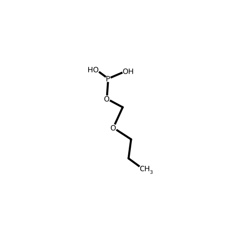 CCCOCOP(O)O